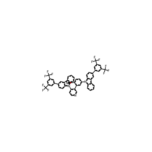 N#Cc1ccc(-n2c3ccccc3c3cc(-c4cc(C(F)(F)F)cc(C(F)(F)F)c4)ccc32)cc1-c1cnccc1-n1c2ccccc2c2cc(-c3cc(C(F)(F)F)cc(C(F)(F)F)c3)ccc21